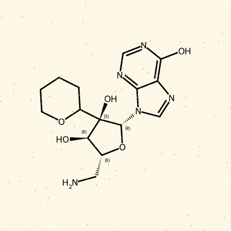 NC[C@H]1O[C@@H](n2cnc3c(O)ncnc32)[C@@](O)(C2CCCCO2)[C@@H]1O